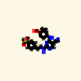 CC1(C)C[C@H](Nc2nc(NCCc3ccc(S(C)(=O)=O)cc3)ncc2C#N)CC[C@@H]1O